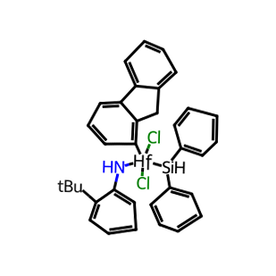 CC(C)(C)c1ccccc1[NH][Hf]([Cl])([Cl])([c]1cccc2c1Cc1ccccc1-2)[SiH](c1ccccc1)c1ccccc1